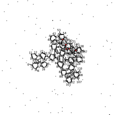 Cc1cc(C)cc([Si](c2ccccc2)(c2ccccc2)c2cccc(-c3ccc4c(c3)N(c3cccc([Si](c5ccccc5)(c5ccccc5)c5cc(C)cc(C)c5)c3)c3cc(N5c6ccccc6C(C)(C)c6ccccc65)cc5c3B4c3ccc(-c4cccc([Si](c6ccccc6)(c6ccccc6)c6cc(C)cc(C)c6)c4)cc3N5c3cccc([Si](c4ccccc4)(c4ccccc4)c4cc(C)cc(C)c4)c3)c2)c1